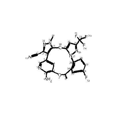 CC1Oc2cc(cnc2N)-c2c(C#N)nn(C)c2Cc2cc(C(F)(F)F)nn2-c2ccc(F)cc21